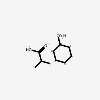 CC(C)C(=O)O.O=C(O)C1CCCCC1